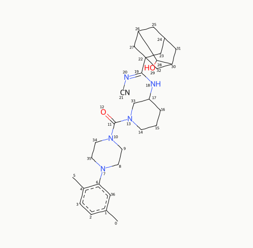 Cc1ccc(C)c(N2CCN(C(=O)N3CCCC(N/C(=N\C#N)C45CC6CC(C4)C(O)C(C6)C5)C3)CC2)c1